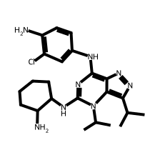 CC(C)c1nnc2c(Nc3ccc(N)c(Cl)c3)nc(NC3CCCCC3N)n(C(C)C)c1-2